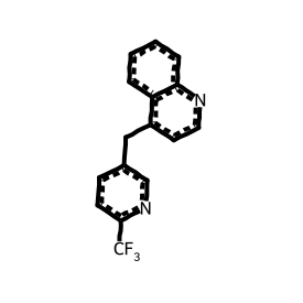 FC(F)(F)c1ccc(Cc2ccnc3ccccc23)cn1